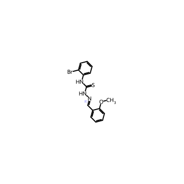 COc1ccccc1/C=N/NC(=S)Nc1ccccc1Br